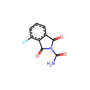 NC(=O)N1C(=O)c2cccc(F)c2C1=O